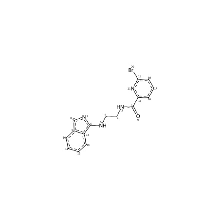 O=C(NCCNc1nsc2ccccc12)c1cccc(Br)n1